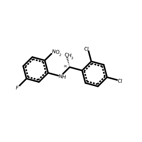 C[C@@H](Nc1cc(F)ccc1[N+](=O)[O-])c1ccc(Cl)cc1Cl